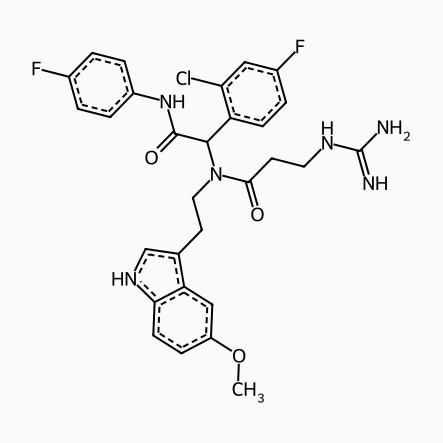 COc1ccc2[nH]cc(CCN(C(=O)CCNC(=N)N)C(C(=O)Nc3ccc(F)cc3)c3ccc(F)cc3Cl)c2c1